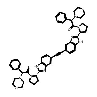 O=C([C@@H](c1ccccc1)N1CCOCC1)N1CCC[C@H]1c1nc2cc(C#Cc3ccc4[nH]c([C@@H]5CCCN5C(=O)[C@@H](c5ccccc5)N5CCOCC5)nc4c3)ccc2[nH]1